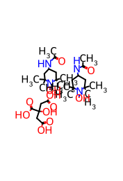 CC(=O)NC1CC(C)(C)N(O)C(C)(C)C1.CC(=O)NC1CC(C)(C)N(O)C(C)(C)C1.O=C(O)CC(O)(CC(=O)O)C(=O)O